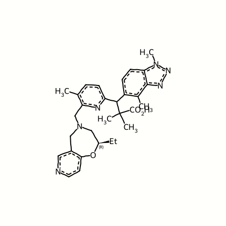 CC[C@@H]1CN(Cc2nc(C(c3ccc4c(nnn4C)c3C)C(C)(C)C(=O)O)ccc2C)Cc2cnccc2O1